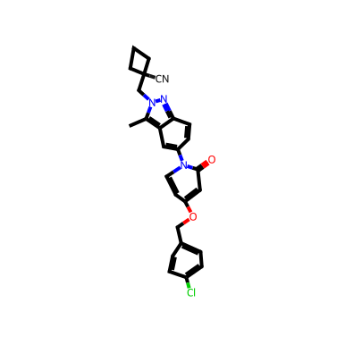 Cc1c2cc(-n3ccc(OCc4ccc(Cl)cc4)cc3=O)ccc2nn1CC1(C#N)CCC1